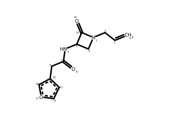 C=CCN1CC(NC(=O)Cc2ccoc2)C1=O